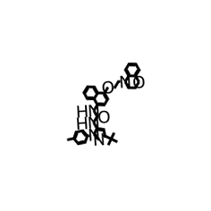 Cc1ccc(-n2nc(C(C)(C)C)cc2NC(=O)Nc2ccc(OCCN3CCOc4ccccc43)c3ccccc23)cc1